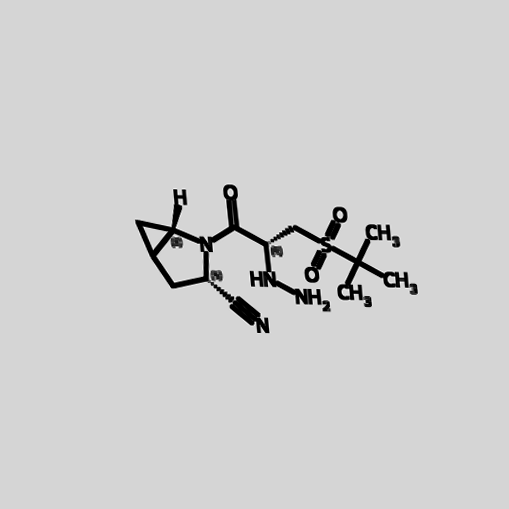 CC(C)(C)S(=O)(=O)C[C@H](NN)C(=O)N1[C@H](C#N)CC2C[C@@H]21